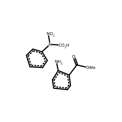 COC(=O)c1ccccc1N.O=C(O)N(c1ccccc1)[N+](=O)[O-]